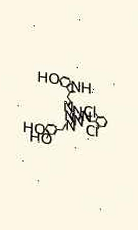 Oc1ccc2[nH]cc(CC=Nc3nc(N=CCc4ccc(O)c(O)c4)nc(N=Cc4c(Cl)cccc4Cl)n3)c2c1